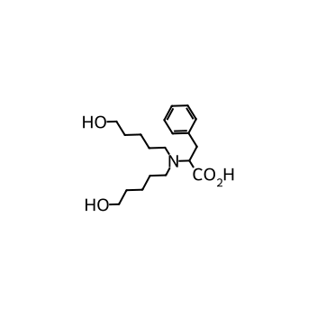 O=C(O)C(Cc1ccccc1)N(CCCCCO)CCCCCO